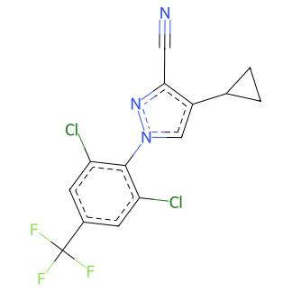 N#Cc1nn(-c2c(Cl)cc(C(F)(F)F)cc2Cl)cc1C1CC1